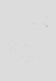 CCCc1ccc2c(c1)C(N(C)CCOc1ccc(CC(OCC)C(=O)O)cc1)c1ccc(CC)cc1CC2